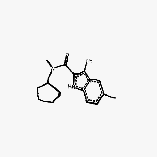 CCCc1c(C(=O)N(C)C2CCCC2)[nH]c2ccc(C)cc12